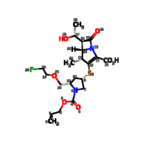 C=CCOC(=O)N1C[C@@H](SC2=C(C(=O)O)N3C(=O)[C@H]([C@@H](C)O)[C@H]3[C@H]2C)C[C@H]1COCCF